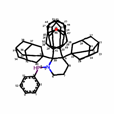 c1ccc(PN2CCCC(C34CC5CC(CC(C5)C3)C4)(C34CC5CC(CC(C5)C3)C4)C2(C23CC4CC(CC(C4)C2)C3)C23CC4CC(CC(C4)C2)C3)cc1